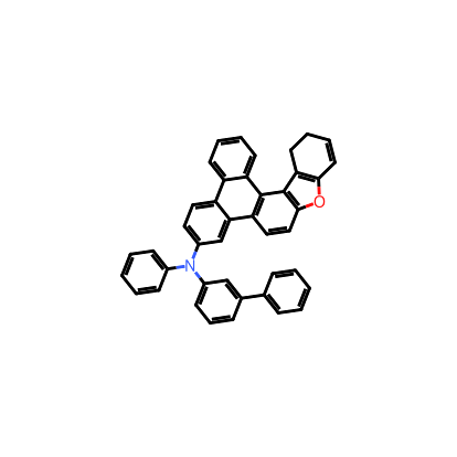 C1=Cc2oc3ccc4c5cc(N(c6ccccc6)c6cccc(-c7ccccc7)c6)ccc5c5ccccc5c4c3c2CC1